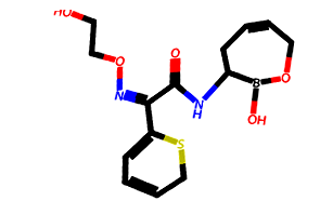 O=C(NC1CC=CCOB1O)/C(=N\OCCO)C1=CC=CCS1